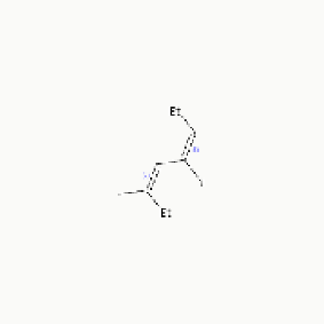 CC/C=C(I)\C=C(\C)CC